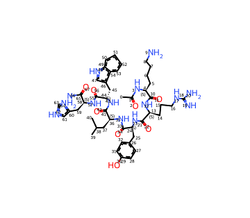 CC(=O)N[C@@H](CCCCN)C(=O)N[C@@H](CCCNC(=N)N)C(=O)N[C@@H](Cc1ccc(O)cc1)C(=O)N[C@@H](CC(C)C)C(=O)N[C@@H](Cc1c[nH]c2ccccc12)C(=O)N[C@@H](Cc1c[nH]cn1)C(N)=O